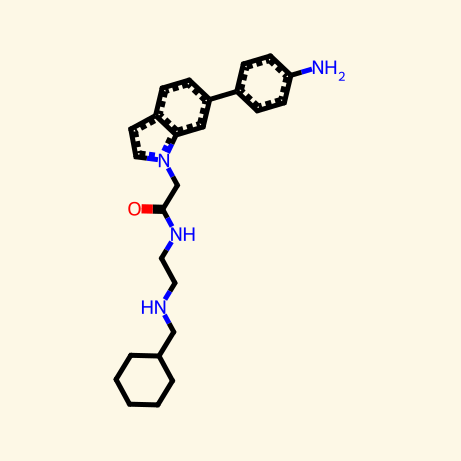 Nc1ccc(-c2ccc3ccn(CC(=O)NCCNCC4CCCCC4)c3c2)cc1